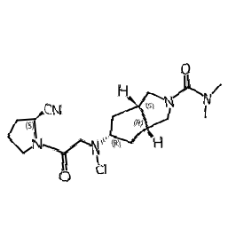 CN(C)C(=O)N1C[C@H]2C[C@@H](N(Cl)CC(=O)N3CCC[C@H]3C#N)C[C@H]2C1